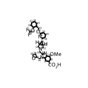 COc1cc(C(=O)O)cc2c1nc(CN1C[C@@H]3[C@H](C1)[C@H]3c1cccc(OCc3ccccc3OC(F)F)n1)n2C[C@@H]1CCO1